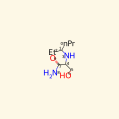 CCCC(CC)NC(CO)C(N)=O